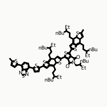 CCCCC(CC)CCC1=c2cc(-c3ccc(-c4ccc(-c5ccc(C)s5)c5nsnc45)s3)sc2=C(CCC(CC)CCCC)C2C=C(c3sc(-c4cc5c(s4)=C(CCC(CC)CCCC)C4C=C(C)SC4C=5CCC(CC)CCCC)c4c3C(=O)N(CC(CC)CCCC)C4=O)SC12